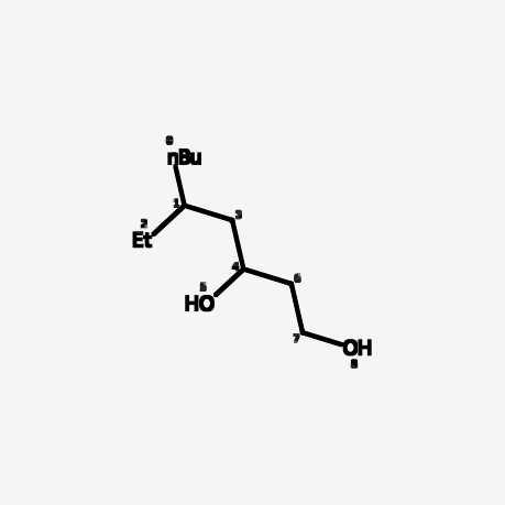 CCCCC(CC)CC(O)CCO